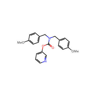 COc1ccc(CN(Cc2ccc(OC)cc2)C(=O)Oc2cccnc2)cc1